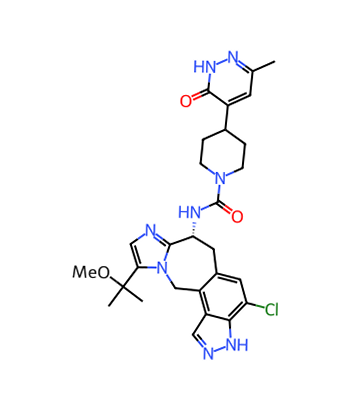 COC(C)(C)c1cnc2n1Cc1c(cc(Cl)c3[nH]ncc13)C[C@H]2NC(=O)N1CCC(c2cc(C)n[nH]c2=O)CC1